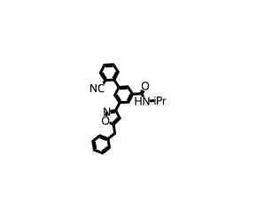 CC(C)NC(=O)c1cc(-c2cc(Cc3ccccc3)on2)cc(-c2ccccc2C#N)c1